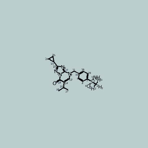 [2H]C([2H])([2H])S(=N)(=O)c1ccc(Cn2cc(C(C)C)c(=O)n3nc(C4CC4)nc23)cc1